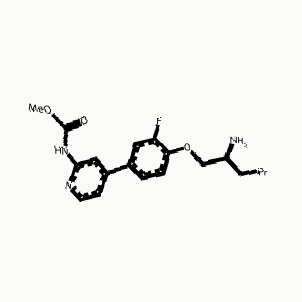 COC(=O)Nc1cc(-c2ccc(OCC(N)CC(C)C)c(F)c2)ccn1